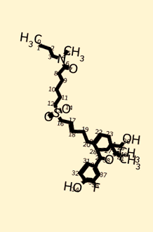 CCCCN(C)C(=O)CCCCCS(=O)(=O)C/C=C/CCC1=CCC2(CO)CC1C(c1ccc(O)c(F)c1)OC2(C)C